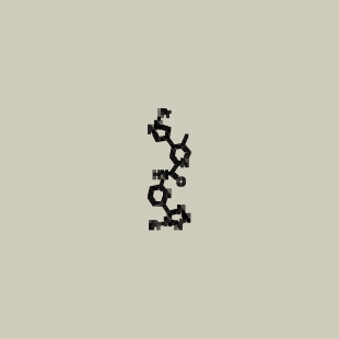 Cc1cnc(C(=O)Nc2cccc(-c3nnnn3C(C)C)n2)cc1-c1cnn(C(C)C)c1